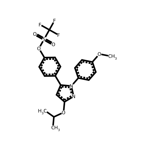 COc1ccc(-n2nc(OC(C)C)cc2-c2ccc(OS(=O)(=O)C(F)(F)F)cc2)cc1